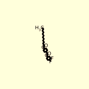 CCCCCCCCCC=CC(=O)Oc1ccc(C(=O)Oc2ccc(F)c(F)c2)cc1